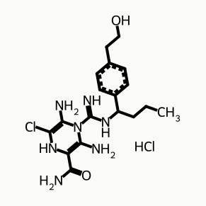 CCCC(NC(=N)N1C(N)=C(Cl)NC(C(N)=O)=C1N)c1ccc(CCO)cc1.Cl